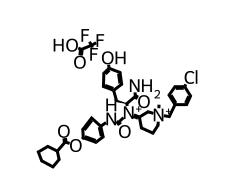 C[N+]1(Cc2ccc(Cl)cc2)CCC/C(=[N+](\C(=O)Nc2ccc(OC(=O)C3CCCCC3)cc2)[C@@H](Cc2ccc(O)cc2)C(N)=O)C1.O=C(O)C(F)(F)F